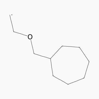 [CH2]COCC1CCCCCC1